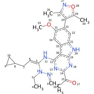 C=NN(CC)/C(=C\CC1CC1)Nc1nc(C(C)=O)nc2[nH]c3cc(-c4c(C)noc4C)c(OC)cc3c12